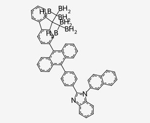 BC(B)(B)C1(C(B)(B)B)c2ccccc2-c2ccc(-c3c4ccccc4c(-c4ccc(-c5nc6ccccc6n5-c5ccc6ccccc6c5)cc4)c4ccccc34)cc21